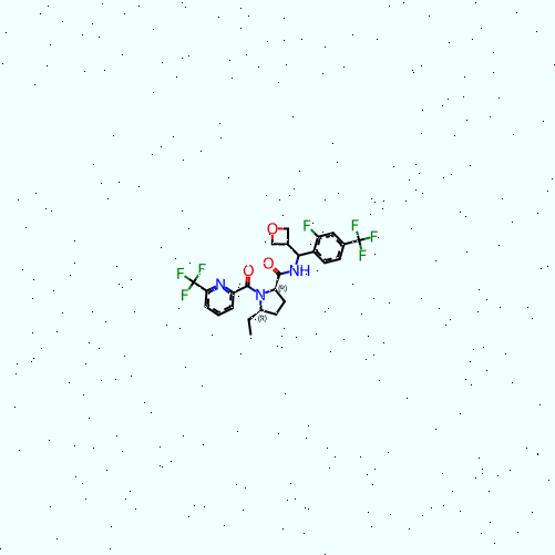 CC[C@@H]1CC[C@H](C(=O)NC(c2ccc(C(F)(F)F)cc2F)C2COC2)N1C(=O)c1cccc(C(F)(F)F)n1